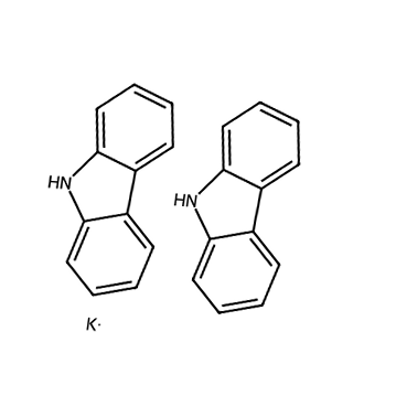 [K].c1ccc2c(c1)[nH]c1ccccc12.c1ccc2c(c1)[nH]c1ccccc12